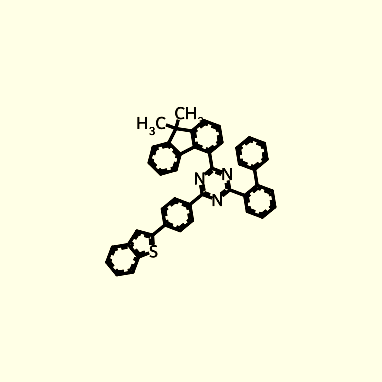 CC1(C)c2ccccc2-c2c(-c3nc(-c4ccc(-c5cc6ccccc6s5)cc4)nc(-c4ccccc4-c4ccccc4)n3)cccc21